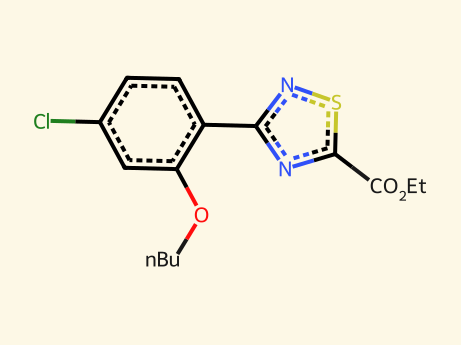 CCCCOc1cc(Cl)ccc1-c1nsc(C(=O)OCC)n1